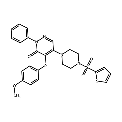 COc1ccc(Sc2c(N3CCN(S(=O)(=O)c4cccs4)CC3)cnn(-c3ccccc3)c2=O)cc1